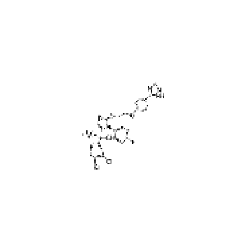 CC(C)(c1ccc(Cl)c(Cl)c1)c1cnc(SCCOc2ccc(-c3nnn[nH]3)cc2)n1-c1ccc(F)cc1